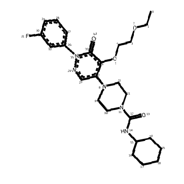 CCOCCOc1c(N2CCN(C(=O)NC3CCCCC3)CC2)cnn(-c2cccc(F)c2)c1=O